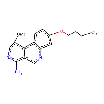 COc1cnc(N)c2cnc3cc(OCCCC(F)(F)F)ccc3c12